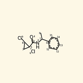 CC(NC(=O)[C@@]1(Cl)CC1Cl)c1ccccc1